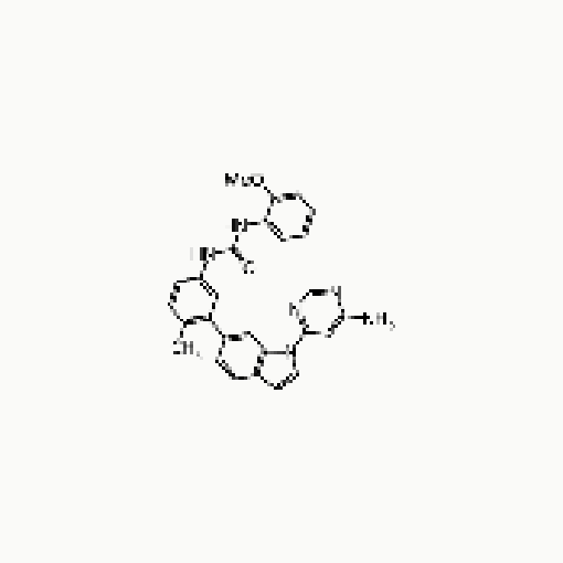 COc1ccccc1NC(=O)Nc1ccc(C)c(-c2ccc3ccn(-c4cc(N)ncn4)c3c2)c1